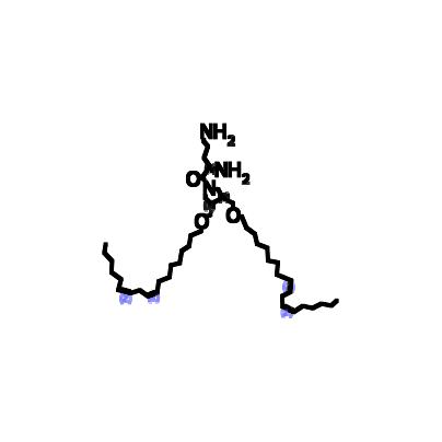 CCCCC/C=C\C/C=C\CCCCCCCCOC[C@@H]1CN(C(=O)[C@@H](N)CCCN)C[C@H]1COCCCCCCCC/C=C\C/C=C\CCCCC